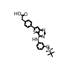 CC(C)(C)[Si](C)(C)Oc1cccc(Nc2ncnc3cc(-c4ccc(CC(=O)O)cc4)sc23)c1